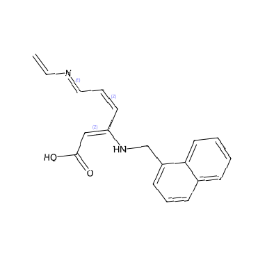 C=C/N=C/C=C\C(=C\C(=O)O)NCc1cccc2ccccc12